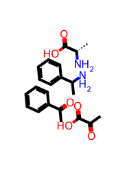 CC(=O)C(=O)O.CC(=O)c1ccccc1.CC(N)c1ccccc1.C[C@H](N)C(=O)O